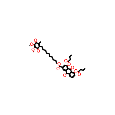 CCCC(=O)Oc1cccc2c1C(=O)c1c(OC(=O)CCC)cc(C(=O)OCCCCCCCCCCC3=C(C)C(=O)C(OC)=C(OC)C3=O)cc1C2=O